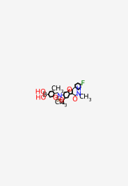 CNC(=O)c1c(-c2ccc(F)cc2)oc2cc(N(Cc3ccc(B(O)O)cc3C)S(C)(=O)=O)c(C3CC3)cc12